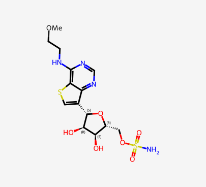 COCCNc1ncnc2c([C@@H]3O[C@H](COS(N)(=O)=O)[C@@H](O)[C@H]3O)csc12